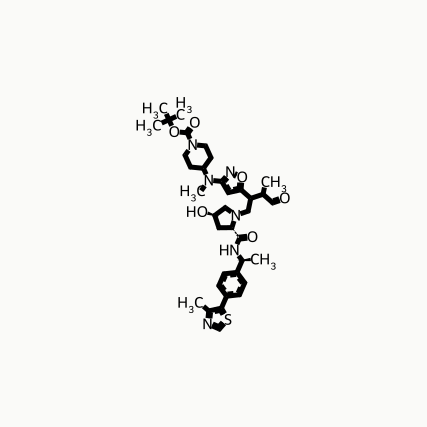 Cc1ncsc1-c1ccc([C@H](C)NC(=O)[C@@H]2C[C@@H](O)CN2CC(c2cc(N(C)C3CCN(C(=O)OC(C)(C)C)CC3)no2)C(C)C=O)cc1